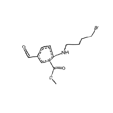 COC(=O)c1cc(C=O)ccc1NCCCCBr